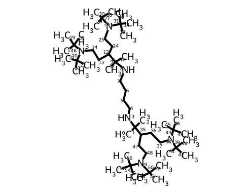 CC(C)(NCCCCNC(C)(C)C(CCN(C(C)(C)C)C(C)(C)C)CCN(C(C)(C)C)C(C)(C)C)C(CCN(C(C)(C)C)C(C)(C)C)CCN(C(C)(C)C)C(C)(C)C